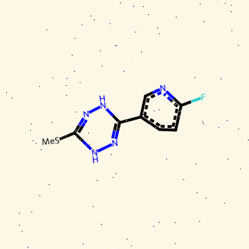 CSC1=NNC(c2ccc(F)nc2)=NN1